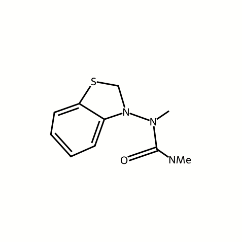 CNC(=O)N(C)N1CSc2ccccc21